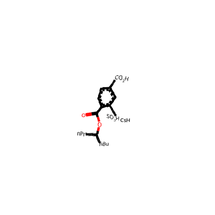 CCCCC(CCC)OC(=O)c1ccc(C(=O)O)cc1S(=O)(=O)O.[CsH]